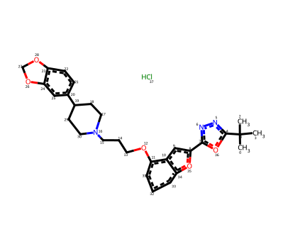 CC(C)(C)c1nnc(-c2cc3c(OCCCN4CCC(c5ccc6c(c5)OCO6)CC4)cccc3o2)o1.Cl